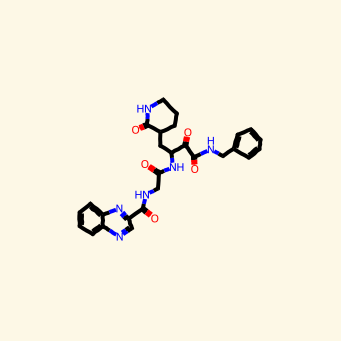 O=C(CNC(=O)c1cnc2ccccc2n1)NC(CC1CCCNC1=O)C(=O)C(=O)NCc1ccccc1